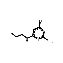 [CH2]CCNc1cc(Cl)nc(N)n1